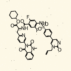 C=CCn1cc(-c2ccc(S(=O)(=O)Nc3cc(F)c(C(=O)N[C@@H](Cc4ccc(-n5c(=O)c6ccccc6n(C)c5=O)cn4)C(=O)OC4CCCCC4)cc3F)cc2)cnc1=O